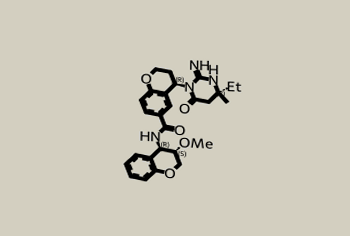 CC[C@]1(C)CC(=O)N([C@@H]2CCOc3ccc(C(=O)N[C@@H]4c5ccccc5OC[C@H]4OC)cc32)C(=N)N1